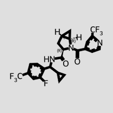 O=C(NC(c1ccc(C(F)(F)F)cc1F)C1CC1)[C@H]1C[C@H]2C[C@H]2N1C(=O)c1ccnc(C(F)(F)F)c1